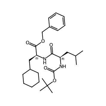 CC(C)C[C@@H](NC(=O)OC(C)(C)C)C(=O)N[C@@H](CC1CCCCC1)C(=O)OCc1ccccc1